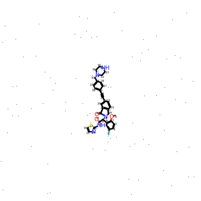 COc1ccc(F)cc1[C@H](C(=O)Nc1nccs1)N1Cc2ccc(C#Cc3ccc(CN4CCNCC4)cc3)cc2C1=O